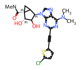 CNC(=O)[C@]12CC1[C@@H](n1cnc3c(N(C)C)nc(C#Cc4ccc(Cl)s4)nc31)C(O)[C@@H]2O